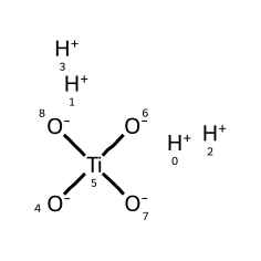 [H+].[H+].[H+].[H+].[O-][Ti]([O-])([O-])[O-]